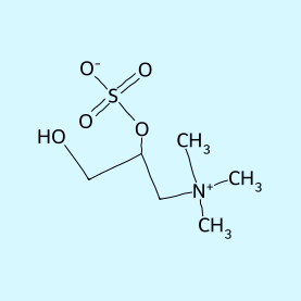 C[N+](C)(C)CC(CO)OS(=O)(=O)[O-]